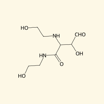 O=CC(O)C(NCCO)C(=O)NCCO